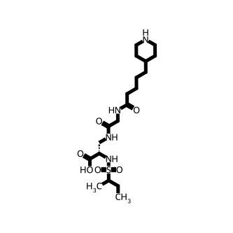 CCC(C)S(=O)(=O)N[C@@H](CNC(=O)CNC(=O)CCCCC1CCNCC1)C(=O)O